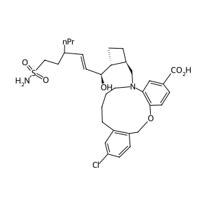 CCCC(/C=C/[C@H](O)[C@@H]1CC[C@H]1CN1CCCCc2cc(Cl)ccc2COc2ccc(C(=O)O)cc21)CCS(N)(=O)=O